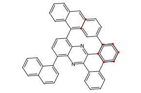 c1ccc(-c2ccccc2-c2nc3c(-c4cccc5ccccc45)ccc(-c4cccc5ccccc45)c3nc2-c2ccccc2-c2ccccc2)cc1